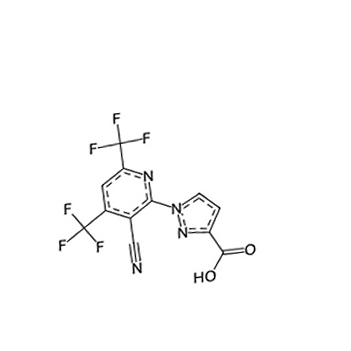 N#Cc1c(C(F)(F)F)cc(C(F)(F)F)nc1-n1ccc(C(=O)O)n1